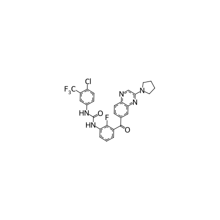 O=C(Nc1ccc(Cl)c(C(F)(F)F)c1)Nc1cccc(C(=O)c2ccc3ncc(N4CCCC4)nc3c2)c1F